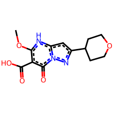 COc1[nH]c2cc(C3CCOCC3)nn2c(=O)c1C(=O)O